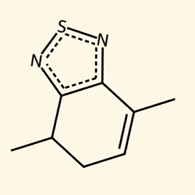 CC1=CCC(C)c2nsnc21